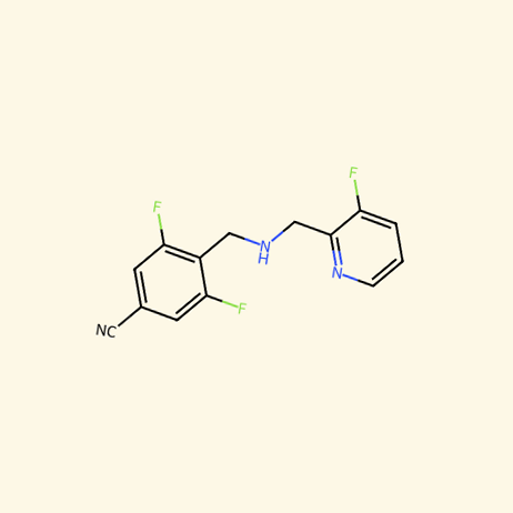 N#Cc1cc(F)c(CNCc2ncccc2F)c(F)c1